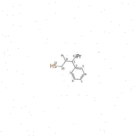 CC(C)C(c1ccccc1)C(C)CS